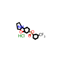 Cl.O=S(=O)(c1cccc(C(F)(F)F)c1)c1ccc2c3c(oc2c1)CC1CCC3N1